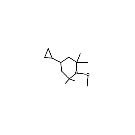 CON1C(C)(C)CC(C2CC2)CC1(C)C